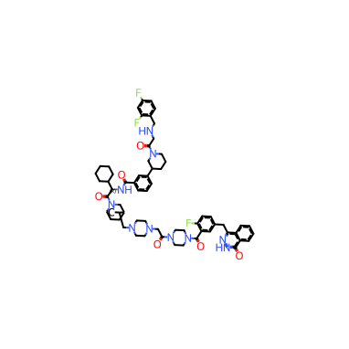 O=C(N[C@@H](C(=O)N1CC2CCC1CC2CN1CCN(CC(=O)N2CCN(C(=O)c3cc(Cc4n[nH]c(=O)c5ccccc45)ccc3F)CC2)CC1)C1CCCCC1)c1cccc(C2CCCN(C(=O)CNCc3ccc(F)cc3F)C2)c1